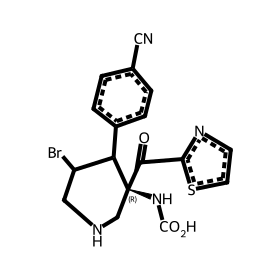 N#Cc1ccc(C2C(Br)CNC[C@@]2(NC(=O)O)C(=O)c2nccs2)cc1